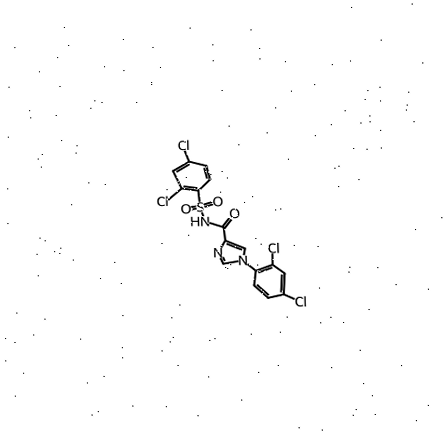 O=C(NS(=O)(=O)c1ccc(Cl)cc1Cl)c1cn(-c2ccc(Cl)cc2Cl)cn1